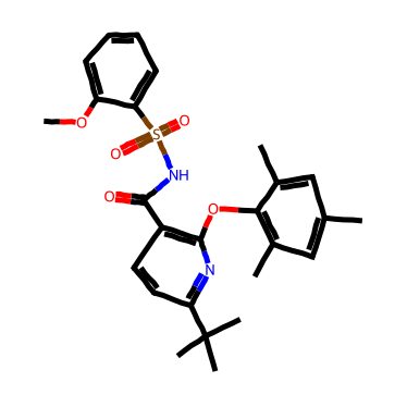 COc1ccccc1S(=O)(=O)NC(=O)c1ccc(C(C)(C)C)nc1Oc1c(C)cc(C)cc1C